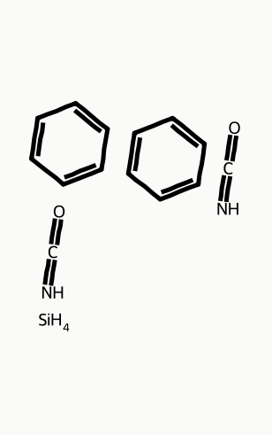 N=C=O.N=C=O.[SiH4].c1ccccc1.c1ccccc1